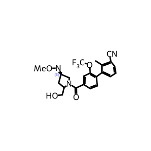 CO/N=C1\CC(CO)N(C(=O)c2ccc(-c3cccc(C#N)c3C)c(OC(F)(F)F)c2)C1